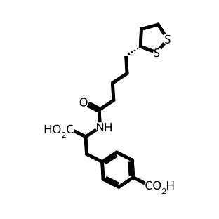 O=C(CCCC[C@@H]1CCSS1)NC(Cc1ccc(C(=O)O)cc1)C(=O)O